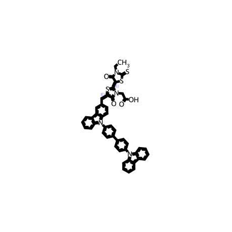 CCN1C(=O)/C(=c2\s/c(=C/c3ccc4c(c3)c3ccccc3n4-c3ccc(-c4ccc(-n5c6ccccc6c6ccccc65)cc4)cc3)c(=O)n2CC(=O)O)SC1=S